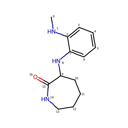 CNc1ccccc1NC1CCCCNC1=O